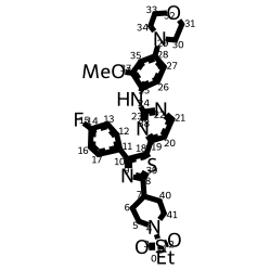 CCS(=O)(=O)N1CCC(c2nc(-c3ccc(F)cc3)c(-c3ccnc(Nc4ccc(N5CCOCC5)cc4OC)n3)s2)CC1